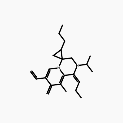 C=CC1=CN2C(=C(C)C1=C)/C(=C\CC)N(C(C)C)CC21CC1CCC